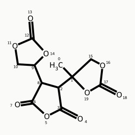 CC1(C2C(=O)OC(=O)C2C2COC(=O)O2)COC(=O)O1